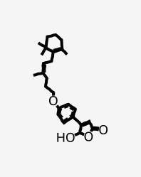 CC(=CCC1=C(C)CCCC1(C)C)CCCOc1ccc(C2=CC(=O)OC2O)cc1